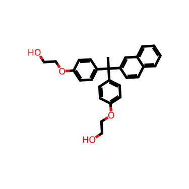 CC(c1ccc(OCCO)cc1)(c1ccc(OCCO)cc1)c1ccc2ccccc2c1